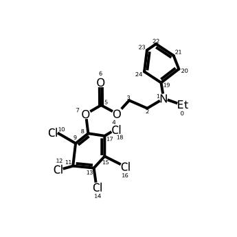 CCN(CCOC(=O)Oc1c(Cl)c(Cl)c(Cl)c(Cl)c1Cl)c1ccccc1